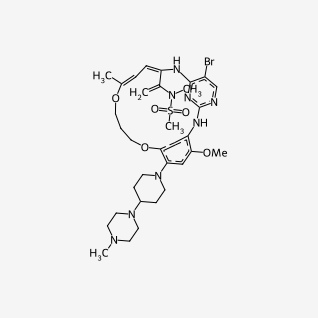 C=C(/C1=C\C=C(/C)OCCCOc2cc(c(OC)cc2N2CCC(N3CCN(C)CC3)CC2)Nc2ncc(Br)c(n2)N1)N(C)S(C)(=O)=O